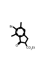 CCOC(=O)C1Cc2cc(C)c(Br)c(C)c2C1=O